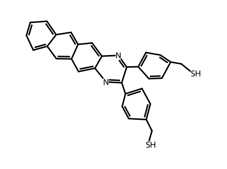 SCc1ccc(-c2nc3cc4cc5ccccc5cc4cc3nc2-c2ccc(CS)cc2)cc1